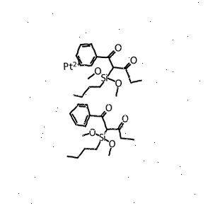 CCCC[Si](OC)(OC)C(C(=O)CC)C(=O)c1ccccc1.CCCC[Si](OC)(OC)C(C(=O)CC)C(=O)c1ccccc1.[Pt+2]